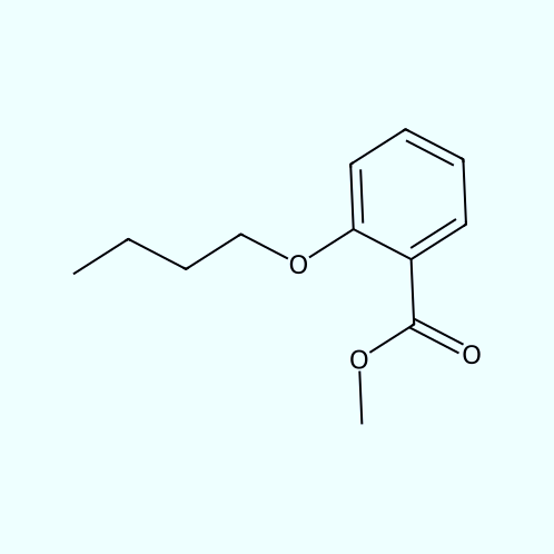 CCCCOc1ccccc1C(=O)OC